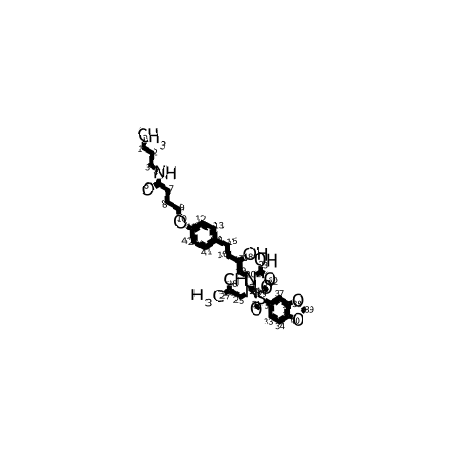 CCCCNC(=O)CCCOc1ccc(CCC(O)CN(C(=O)O)N(CC(C)C)S(=O)(=O)c2ccc3c(c2)OCO3)cc1